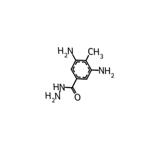 Cc1c(N)cc(C(=O)NN)cc1N